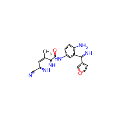 C/C(=C/C(=N)C#N)C(=N)C(=O)Nc1ccc(N)c(C(=N)c2ccoc2)c1